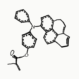 C=C(C)C(=O)Oc1ccc(N(c2ccccc2)c2ccc3c4c5c(ccc24)CC=CC5=CC3)cc1